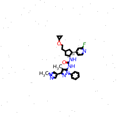 Cc1c(-c2cnn(C)c2)nn(-c2ccccc2)c1NC(=O)N[C@@H]1CC(CCOC2CC2)C[C@H]1c1ccnc(F)c1